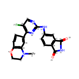 CC(C)N1CCOc2ccc(-c3nc(Nc4ccc5c(c4)C(=O)NC5=O)ncc3F)cc21